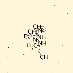 C#CCCC(=C)Nc1nc(=C(/C)CC)/c(=C(\C=C)N2CCCCC2)[nH]1